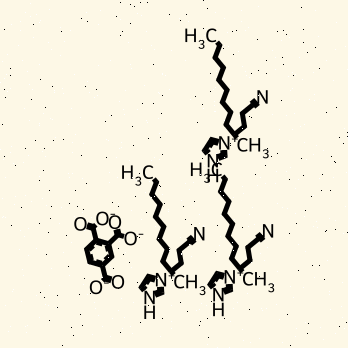 CCCCCCCCCC(C)(CCC#N)[n+]1cc[nH]c1.CCCCCCCCCC(C)(CCC#N)[n+]1cc[nH]c1.CCCCCCCCCC(C)(CCC#N)[n+]1cc[nH]c1.O=C([O-])c1ccc(C(=O)[O-])c(C(=O)[O-])c1